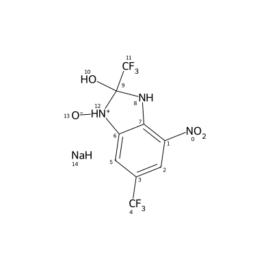 O=[N+]([O-])c1cc(C(F)(F)F)cc2c1NC(O)(C(F)(F)F)[NH+]2[O-].[NaH]